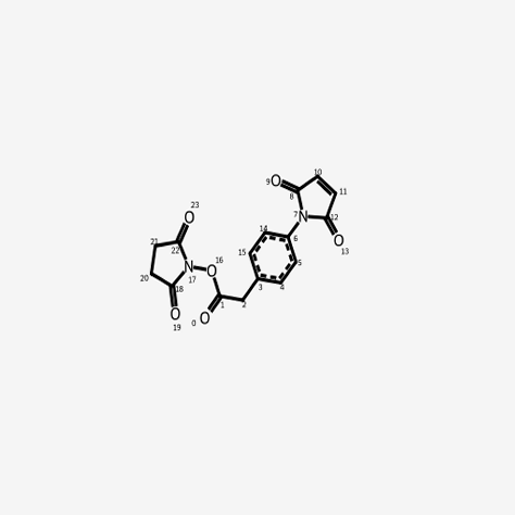 O=C(Cc1ccc(N2C(=O)C=CC2=O)cc1)ON1C(=O)CCC1=O